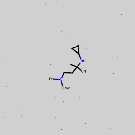 CCN(CCC(C)(C#N)NC1CC1)OC